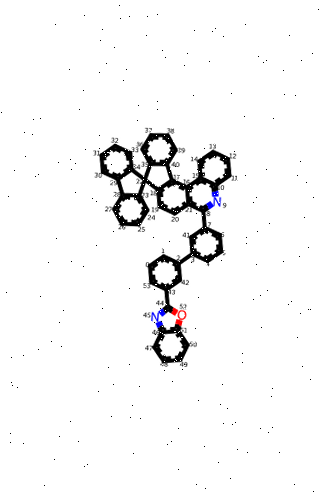 c1cc(-c2cccc(-c3nc4ccccc4c4c5c(ccc34)C3(c4ccccc4-c4ccccc43)c3ccccc3-5)c2)cc(-c2nc3ccccc3o2)c1